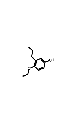 CCCc1cc(O)ccc1OCC